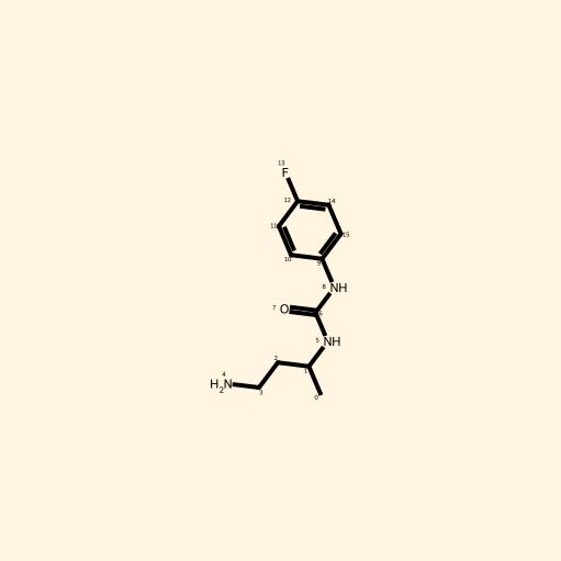 CC(CCN)NC(=O)Nc1ccc(F)cc1